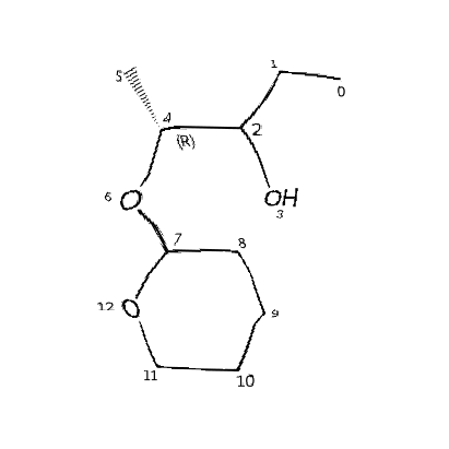 CCC(O)[C@@H](C)OC1CCCCO1